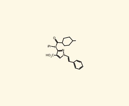 CC1CCC(C(=O)N(c2nn(C=Cc3ccccc3)cc2C(=O)O)C(C)C)CC1